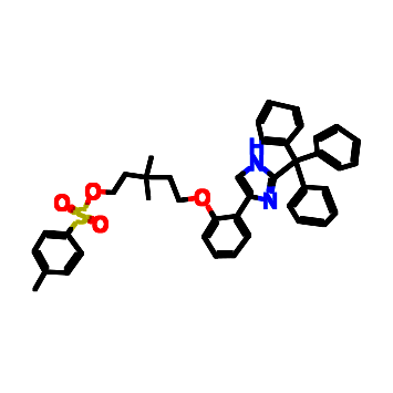 Cc1ccc(S(=O)(=O)OCCC(C)(C)CCOc2ccccc2-c2c[nH]c(C(c3ccccc3)(c3ccccc3)c3ccccc3)n2)cc1